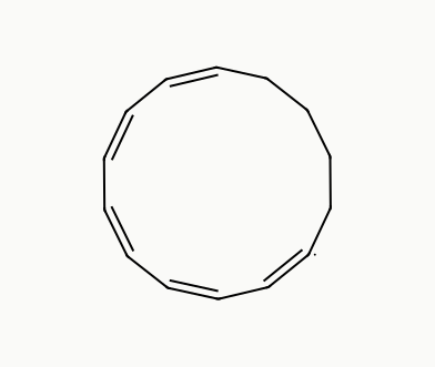 [C]1=CC=CC=CC=CC=CCCCC1